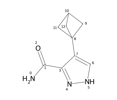 NC(=O)c1n[nH]cc1C12CC(C1)C2